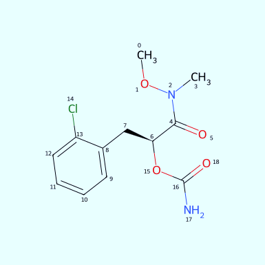 CON(C)C(=O)[C@H](Cc1ccccc1Cl)OC(N)=O